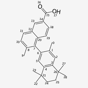 Cc1cc2c(cc1-c1c(C)ccc3cc(C(=O)O)ccc13)C(C)(C)CCC2(C)C